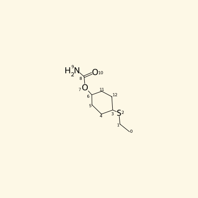 CCSC1CCC(OC(N)=O)CC1